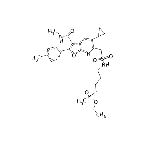 CCOP(C)(=O)CCCCNS(=O)(=O)Cc1nc2oc(-c3ccc(C)cc3)c(C(=O)NC)c2cc1C1CC1